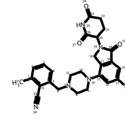 Cc1cccc(CN2CCN(c3cc(F)cc4c3CN(C3CCC(=O)NC3=O)C4=O)CC2)c1C#N